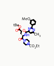 CCOC(=O)N1CCN(C(=O)[C@H](CCC(=O)OC(C)(C)C)NC(=O)c2cc(C)nc(-c3cccc(OC)c3)n2)CC1